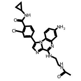 CC(=O)NCCNc1nc2cc(N)ccc2n2c(-c3ccc(C(=O)NC4CC4)c(Cl)c3)cnc12